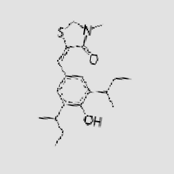 CCC(C)c1cc(C=C2SCN(C)C2=O)cc(C(C)CC)c1O